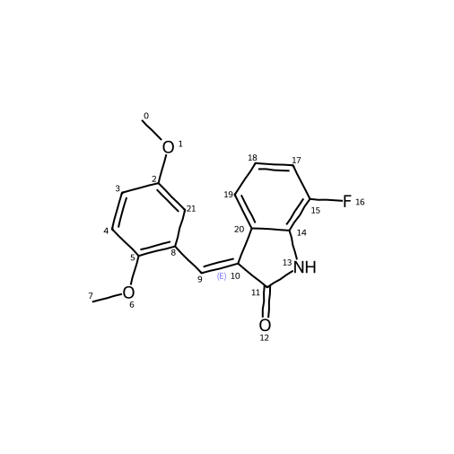 COc1ccc(OC)c(/C=C2/C(=O)Nc3c(F)cccc32)c1